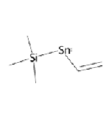 C=[CH][Sn][Si](C)(C)C